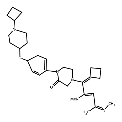 C/N=C(C)\C=C(/NC)C(=C1CCC1)N1CCN(C2=CCC(OC3CCN(C4CCC4)CC3)C=C2)C(=O)C1